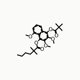 CCCCC(C)(C)C(=O)Oc1c(OC)c(OC)c(OC(=O)C(C)(C)C)c2cccc(OC)c12